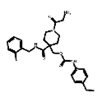 CCc1ccc(NC(=O)OCC2(C(=O)NCc3ccccc3C)CCN(C(=O)CN)CC2)cc1